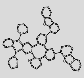 c1ccc(-n2c3ccccc3n(-c3ccccc3)c3cc4c(cc32)c2ccc(-c3cccc5c3oc3ccccc35)cc2c2cc(-c3cccc5c3oc3ccccc35)ccc2c2cccnc24)cc1